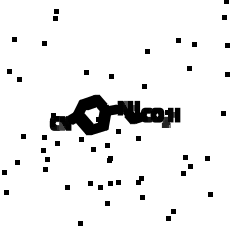 [C-]#[N+]c1ccc(NCC(=O)O)cc1